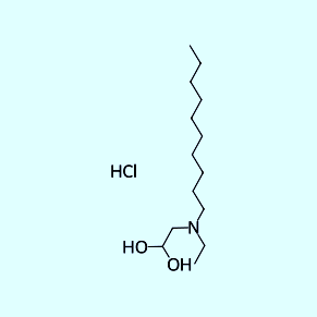 CCCCCCCCCCN(CC)CC(O)O.Cl